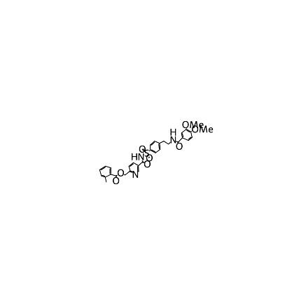 COc1ccc(C(=O)NCCc2ccc(S(=O)(=O)NC(=O)c3ccc(COC(=O)c4ccccc4C)nc3)cc2)cc1OC